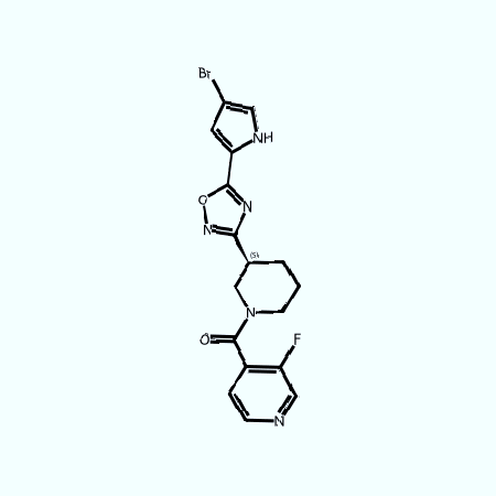 O=C(c1ccncc1F)N1CCC[C@H](c2noc(-c3cc(Br)c[nH]3)n2)C1